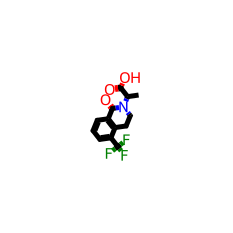 CC(C(=O)O)N1CCc2c(cccc2C(F)(F)F)C1=O